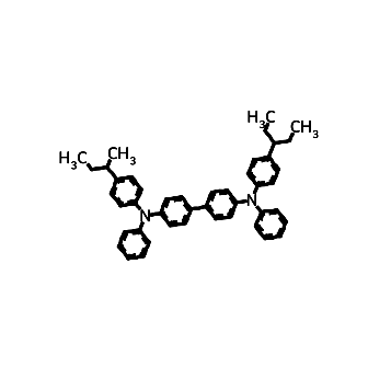 CCC(C)c1ccc(N(c2ccccc2)c2ccc(-c3ccc(N(c4ccccc4)c4ccc(C(CC)CC)cc4)cc3)cc2)cc1